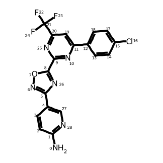 Nc1ccc(-c2noc(-c3nc(-c4ccc(Cl)cc4)cc(C(F)(F)F)n3)n2)cn1